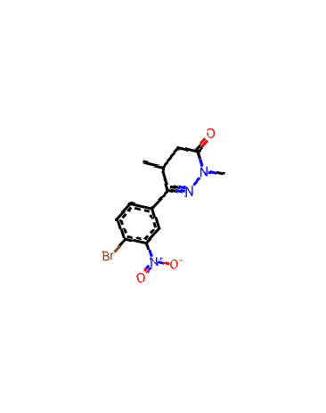 CC1CC(=O)N(C)N=C1c1ccc(Br)c([N+](=O)[O-])c1